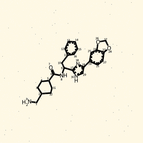 NCC1CCC(C(=O)NC(Cc2ccccc2)c2nc(-c3ccc4c(c3)OCO4)c[nH]2)CC1